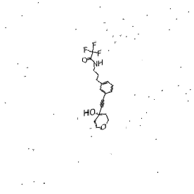 O=C(NCCCc1cccc(C#CC2(O)CCOCC2)c1)C(F)(F)F